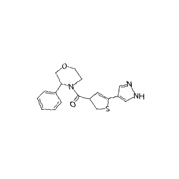 O=C(C1C=C(c2cn[nH]c2)SC1)N1CCOCC1c1ccccc1